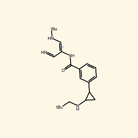 CC(C)(C)CNC1CC1c1cccc(C(=O)N/C(C=N)=C/NC(C)(C)C)c1